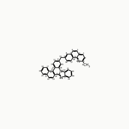 Cc1ccc2ccc3cc(Cc4ccc5c6c7ccccc7ccc6c6nc7ccccc7n6c5c4)ccc3c2n1